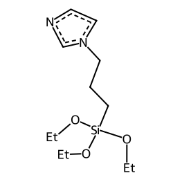 CCO[Si](CCCn1ccnc1)(OCC)OCC